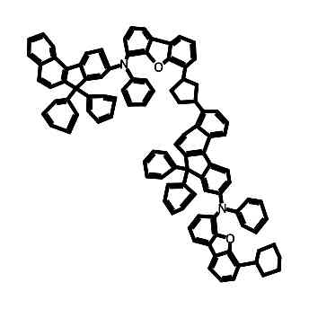 c1ccc(N(c2ccc3c(c2)C(c2ccccc2)(c2ccccc2)c2ccc4c(C5CCC(c6cccc7c6oc6c(N(c8ccccc8)c8ccc9c(c8)C(c8ccccc8)(c8ccccc8)c8ccc%10ccccc%10c8-9)cccc67)C5)cccc4c2-3)c2cccc3c2oc2c(C4CCCCC4)cccc23)cc1